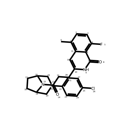 Cc1ccc(F)c2c(=O)[nH]c(CCC(=O)N3C4CCC3CN(c3ccc(Cl)cc3)C4)cc12